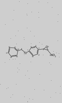 O=[N+]([O-])C1OC1c1ccc(OCc2ccccc2)cc1